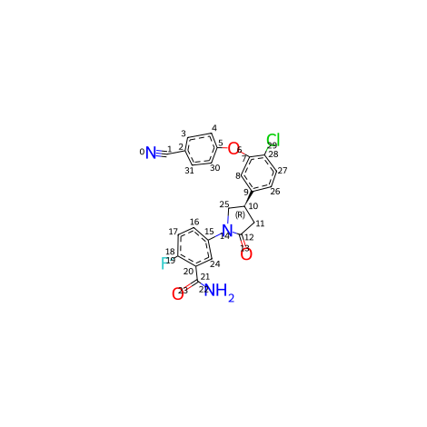 N#Cc1ccc(Oc2cc([C@H]3CC(=O)N(c4ccc(F)c(C(N)=O)c4)C3)ccc2Cl)cc1